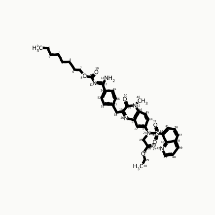 CCCCCCCCOC(=O)N=C(N)c1ccc(Cc2nc3cc(N(CC(=O)OCC)S(=O)(=O)c4cccc5cccnc45)ccc3n(C)c2=O)cc1